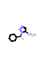 C[C@H](c1ccccc1)n1nncc1C(=O)O